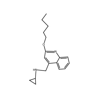 CCCCCOc1cc(CNC2CC2)c2ccccc2n1